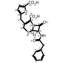 O=C(Cc1ccccc1)N[C@@H]1C(=O)N2C(C(=O)O)=C(Cc3ccc(C(=O)O)o3)CS[C@H]12